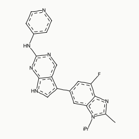 Cc1nc2c(F)cc(-c3c[nH]c4nc(Nc5ccncc5)ncc34)cc2n1C(C)C